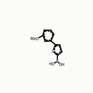 COc1cccc(-c2ccc(B(O)O)s2)c1